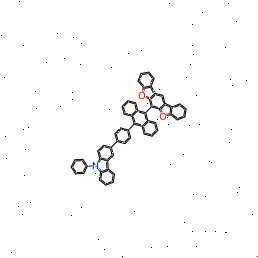 c1ccc(-n2c3ccccc3c3cc(-c4ccc(-c5c6ccccc6c(-c6c7oc8ccccc8c7cc7c6oc6ccccc67)c6ccccc56)cc4)ccc32)cc1